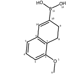 COc1cccc2c1CCC(B(O)O)=C2